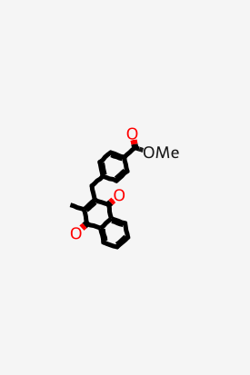 COC(=O)c1ccc(CC2=C(C)C(=O)c3ccccc3C2=O)cc1